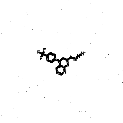 [N-]=[N+]=NCC1CN(c2ccc(C(F)(F)F)cc2)c2cccnc2S1